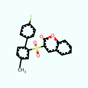 Cc1ccc(-c2ccc(F)cc2)c(S(=O)(=O)c2cc3ccccc3oc2=O)c1